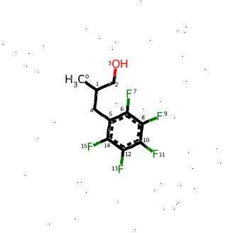 CC(CO)Cc1c(F)c(F)c(F)c(F)c1F